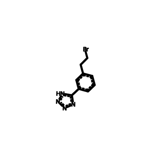 BrCCc1cccc(-c2nnn[nH]2)c1